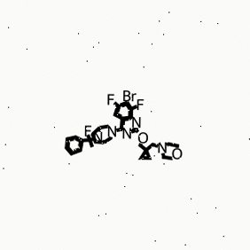 CC(C)(c1ccccc1)N1C2CC(F)C1CN(c1nc(OCC3(CN4CCOCC4)CC3)nc3c(F)c(Br)c(F)cc13)C2